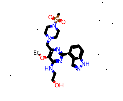 CCOc1c(CN2CCN(S(C)(=O)=O)CC2)nc(-c2cccc3[nH]ncc23)nc1NCCO